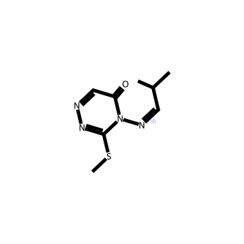 CSc1nncc(=O)n1/N=C\C(C)C